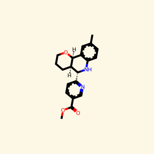 COC(=O)c1ccc([C@H]2Nc3ccc(C)cc3[C@@H]3OCCC[C@H]23)nc1